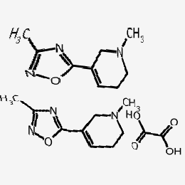 Cc1noc(C2=CCCN(C)C2)n1.Cc1noc(C2=CCCN(C)C2)n1.O=C(O)C(=O)O